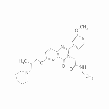 CCNC(=O)Cn1c(-c2cccc(OC)c2)nc2ccc(OCC(C)CN3CCCCC3)cc2c1=O